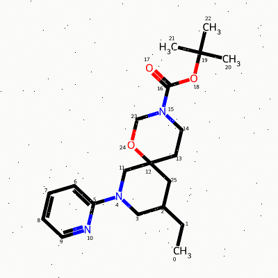 CCC1CN(c2ccccn2)CC2(CCN(C(=O)OC(C)(C)C)CO2)C1